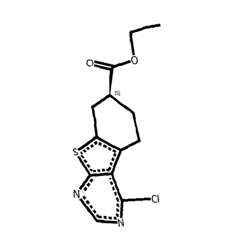 CCOC(=O)[C@H]1CCc2c(sc3ncnc(Cl)c23)C1